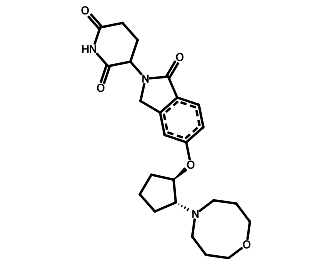 O=C1CCC(N2Cc3cc(O[C@@H]4CCC[C@H]4N4CCCOCCC4)ccc3C2=O)C(=O)N1